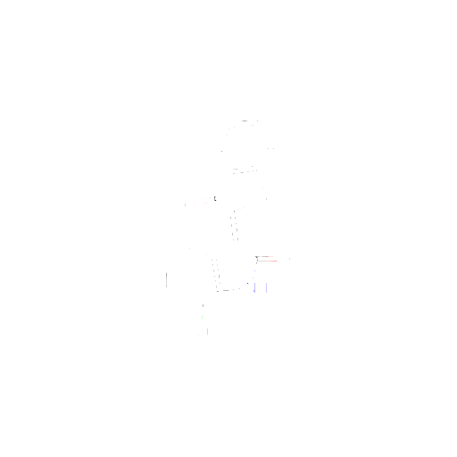 O=C1NC2=C(CCC=C2Br)/C1=C1/Cc2ccccc2C1=O